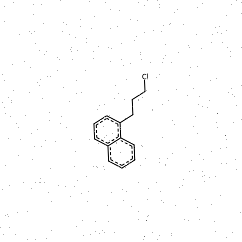 ClCCCc1cccc2ccccc12